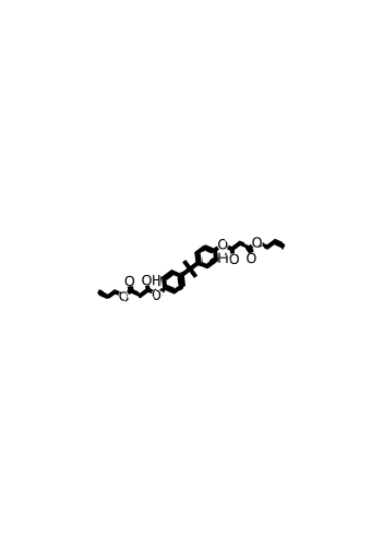 C=CCOC(=O)CC(O)Oc1ccc(C(C)(C)c2ccc(OC(O)CC(=O)OCC=C)cc2)cc1